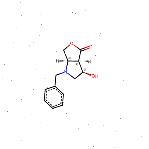 O=C1OC[C@H]2[C@@H]1[C@@H](O)CN2Cc1ccccc1